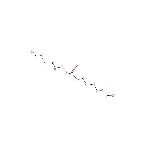 O=C(CCCCCCCCl)CCCCCCCCl